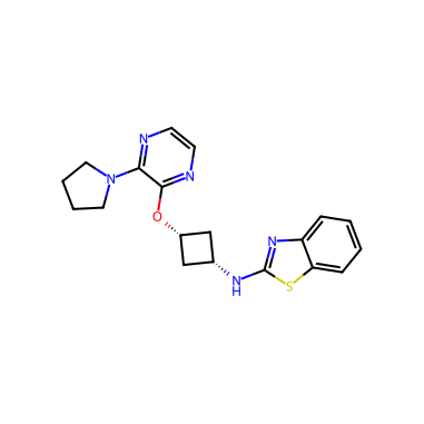 c1ccc2sc(N[C@H]3C[C@@H](Oc4nccnc4N4CCCC4)C3)nc2c1